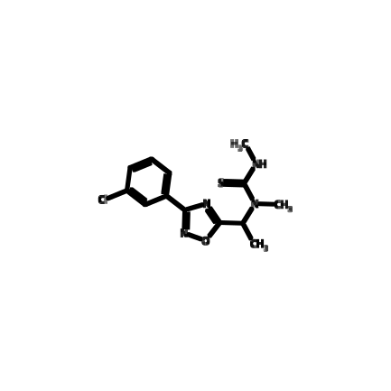 CNC(=S)N(C)C(C)c1nc(-c2cccc(Cl)c2)no1